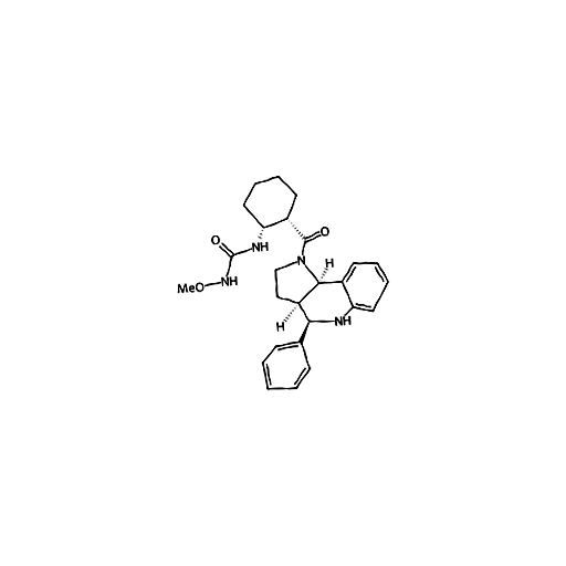 CONC(=O)N[C@@H]1CCCC[C@@H]1C(=O)N1CC[C@@H]2[C@H](c3ccccc3)Nc3ccccc3[C@@H]21